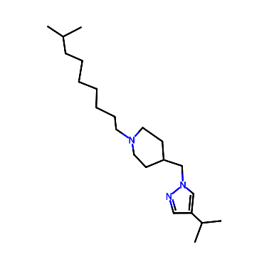 CC(C)CCCCCCCN1CCC(Cn2cc(C(C)C)cn2)CC1